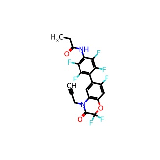 C#CCN1C(=O)C(F)(F)Oc2cc(F)c(-c3c(F)c(F)c(NC(=O)CC)c(F)c3F)cc21